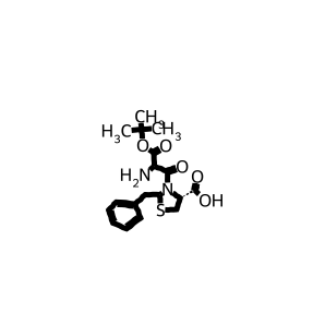 CC(C)(C)OC(=O)C(N)C(=O)N1C(Cc2ccccc2)SC[C@H]1C(=O)O